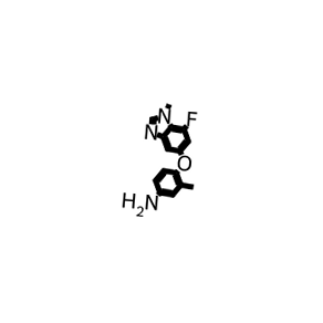 Cc1cc(N)ccc1Oc1cc(F)c2c(c1)ncn2C